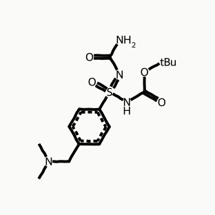 CN(C)Cc1ccc(S(=O)(=NC(N)=O)NC(=O)OC(C)(C)C)cc1